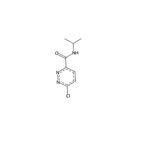 CC(C)NC(=O)c1ccc(Cl)nn1